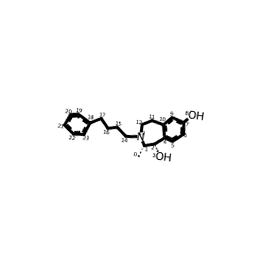 C[C@H]1[C@@H](O)c2ccc(O)cc2CCN1CCCCc1ccccc1